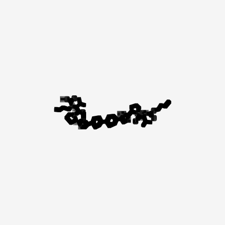 C=CCCOC(=O)N[C@H](C(=O)N1CCCC1c1ncc(-c2ccc(-c3ccc(-c4cnc([C@@H]5CCCN5C(=O)[C@H](C(C)C)N(CCC=C)C(=O)O)[nH]4)cc3)cc2)[nH]1)C(C)C